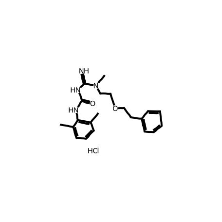 Cc1cccc(C)c1NC(=O)NC(=N)N(C)CCOCCc1ccccc1.Cl